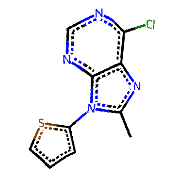 Cc1nc2c(Cl)ncnc2n1-c1cccs1